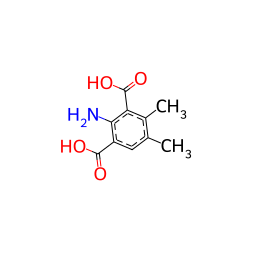 Cc1cc(C(=O)O)c(N)c(C(=O)O)c1C